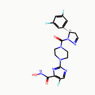 O=C(NO)c1nc(N2CCN(C(=O)N3N=CC[C@H]3c3cc(F)cc(F)c3)CC2)ncc1F